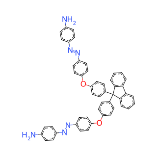 Nc1ccc(/N=N/c2ccc(Oc3ccc(C4(c5ccc(Oc6ccc(/N=N/c7ccc(N)cc7)cc6)cc5)c5ccccc5-c5ccccc54)cc3)cc2)cc1